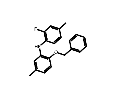 Cc1ccc(Pc2cc(C)ccc2OCc2ccccc2)c(F)c1